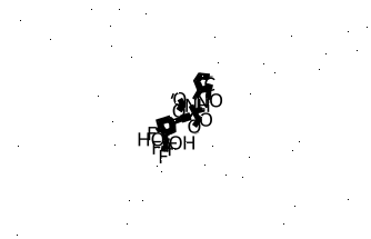 COC(=O)N[C@](C#Cc1ccc(F)c(C(O)(O)C(F)(F)F)c1)(CN1Cc2ccccc2C1=O)C(=O)OC